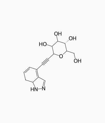 OCC1OC(C#CC2=C3C=NNC3CC=C2)C(O)C(O)[C@@H]1O